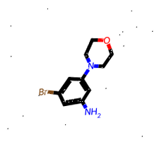 Nc1cc(Br)cc(N2CCOCC2)c1